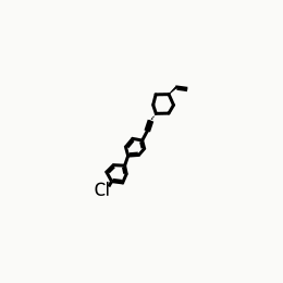 C=C[C@H]1CC[C@H](C#Cc2ccc(-c3ccc(Cl)cc3)cc2)CC1